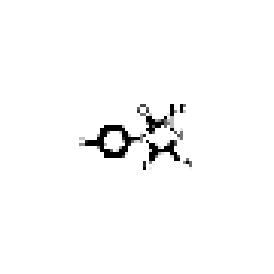 CCn1nc(C(C)C)c(=O)n(-c2ccc(F)cc2)c1=O